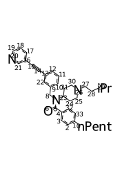 CCCCCc1ccc(C(=O)N(Cc2cccc(C#Cc3cccnc3)c2)C2CCN(CCC(C)C)CC2)cc1